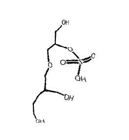 O=S(=O)(O)OC(CO)COCC(O)CO